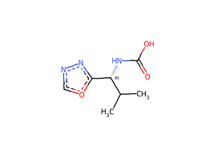 CC(C)[C@@H](NC(=O)O)c1nnco1